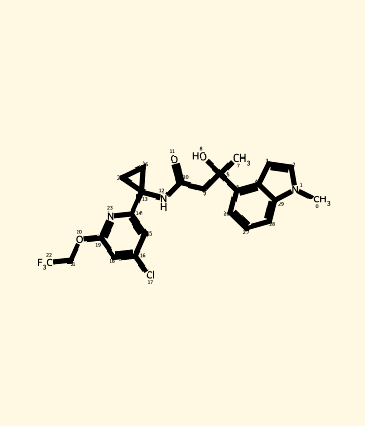 Cn1ccc2c(C(C)(O)CC(=O)NC3(c4cc(Cl)cc(OCC(F)(F)F)n4)CC3)cccc21